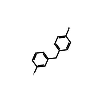 Fc1ccc([CH]c2cccc(F)c2)cc1